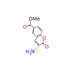 COC(=O)c1ccc2oc(=O)c(SN)cc2c1